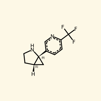 FC(F)(F)c1ccc([C@@]23C[C@@H]2CCN3)cn1